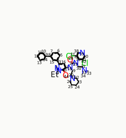 CCn1nc(-c2cccc(-c3ccccc3)c2)cc(N(CCN2CCCCC2)C(=O)N(CCN(C)C)c2c(Cl)cncc2Cl)c1=O